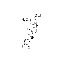 CCOC1CN(C)Cc2c3c(nn2C1)CCN(C(=O)Nc1ccc(F)c(Cl)c1)C3=O